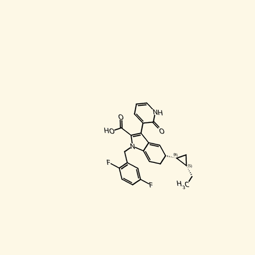 CC[C@H]1C[C@H]1C1C=c2c(-c3ccc[nH]c3=O)c(C(=O)O)n(Cc3cc(F)ccc3F)c2=CC1